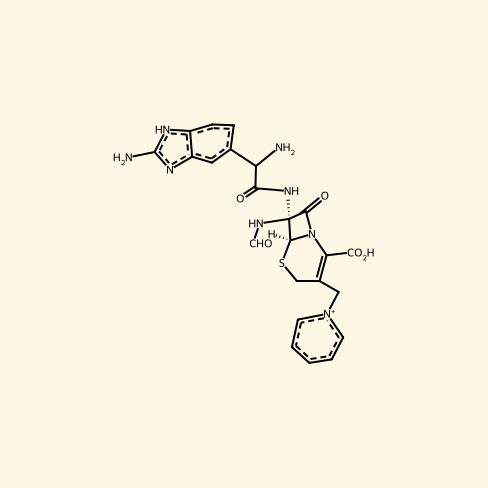 Nc1nc2cc(C(N)C(=O)N[C@]3(NC=O)C(=O)N4C(C(=O)O)=C(C[n+]5ccccc5)CS[C@H]43)ccc2[nH]1